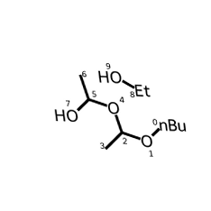 CCCCOC(C)OC(C)O.CCO